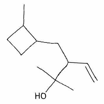 C=CC(CC1CCC1C)C(C)(C)O